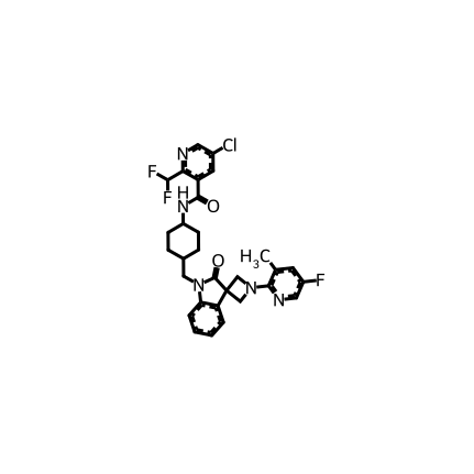 Cc1cc(F)cnc1N1CC2(C1)C(=O)N(CC1CCC(NC(=O)c3cc(Cl)cnc3C(F)F)CC1)c1ccccc12